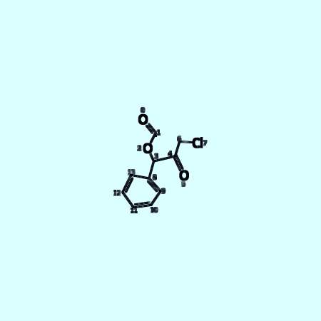 O=[C]OC(C(=O)CCl)c1ccccc1